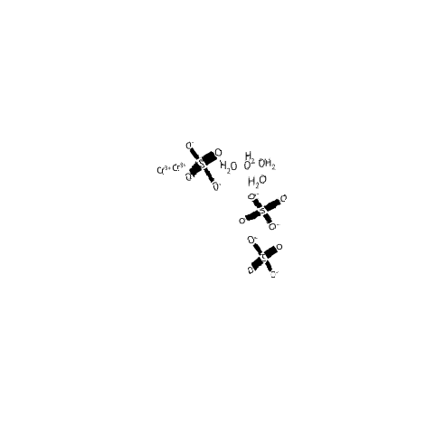 O.O.O.O.O=S(=O)([O-])[O-].O=S(=O)([O-])[O-].O=S(=O)([O-])[O-].[Cr+3].[Cr+3]